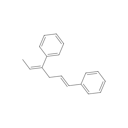 CC=C(CC=Cc1ccccc1)c1ccccc1